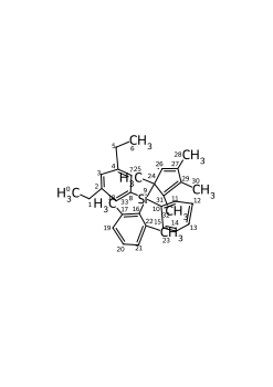 CCc1cc(CC)cc([Si](c2ccccc2)(c2c(C)cccc2C)C2(C)[C]=C(C)C(C)=C2C)c1